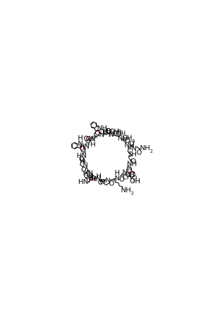 CCCC[C@H]1C(=O)N(C)[C@@H](CCCC)C(=O)N[C@@H](C)C(=O)N[C@H](C(=O)NCC(N)=O)CSCC(=O)N[C@@H](Cc2ccc(O)cc2)C(=O)N(C)[C@@H](C)C(=O)N[C@@H](CCCCN)C(=O)N2CCC[C@H]2C(=O)N[C@@H](Cc2c[nH]cn2)C(=O)N[C@@H](CC(=O)O)C(=O)N2CCC[C@H]2C(=O)N[C@@H](Cc2c[nH]c3ccccc23)C(=O)N[C@@H](CO)C(=O)N[C@@H](Cc2c[nH]c3ccccc23)C(=O)N1C